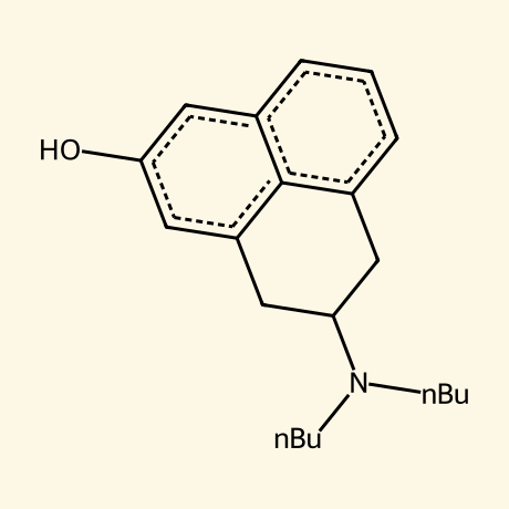 CCCCN(CCCC)C1Cc2cccc3cc(O)cc(c23)C1